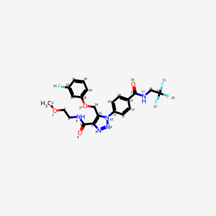 COCCNC(=O)c1nnn(-c2ccc(C(=O)NCC(F)(F)F)cc2)c1COc1cccc(F)c1